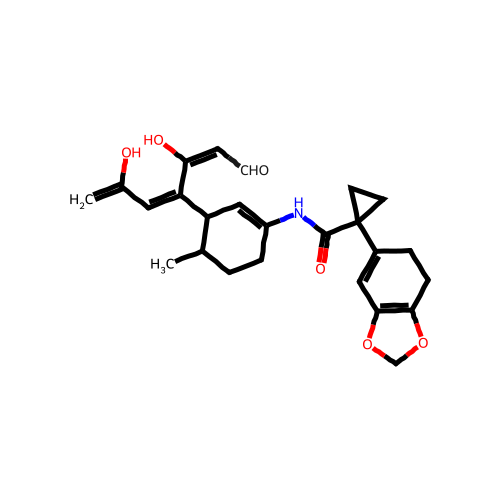 C=C(O)/C=C(\C(O)=C/C=O)C1C=C(NC(=O)C2(C3=CC4=C(CC3)OCO4)CC2)CCC1C